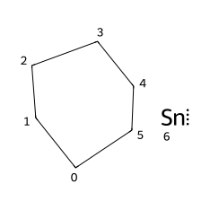 C1CCCCC1.[Sn]